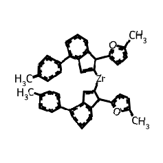 Cc1ccc(-c2cccc3c2C=[C]([Zr][C]2=Cc4c(-c5ccc(C)cc5)cccc4C2c2ccc(C)o2)C3c2ccc(C)o2)cc1